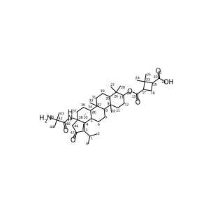 CC(C)C1=C2C3CCC4C5(C)CCC(OC(=O)C6CC(C(=O)O)C6(C)C)C(C)(C)C5CCC4(C)[C@]3(C)CCC2(NC(=O)C(C)(C)N)CC1=O